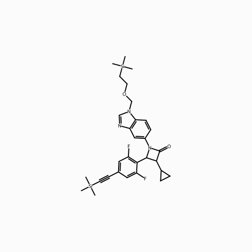 C[Si](C)(C)C#Cc1cc(F)c(C2C(C3CC3)C(=O)N2c2ccc3c(c2)ncn3COCC[Si](C)(C)C)c(F)c1